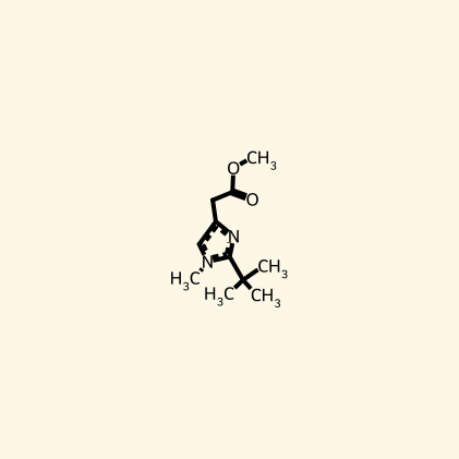 COC(=O)Cc1cn(C)c(C(C)(C)C)n1